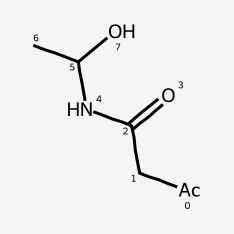 CC(=O)CC(=O)NC(C)O